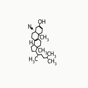 CC(C)CC[C@@H](C)[C@H]1CC[C@H]2C3=C(CC[C@]12C)[C@@]1(C)CC=C(O)C[C@]1(C#N)CC3